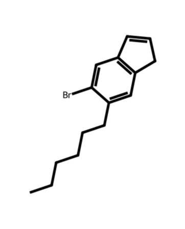 CCCCCCc1cc2c(cc1Br)C=CC2